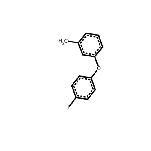 [CH2]c1cccc(Oc2ccc(I)cc2)c1